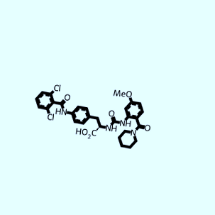 COc1ccc(C(=O)N2CCCCC2)c(NC(=O)N[C@@H](Cc2ccc(NC(=O)c3c(Cl)cccc3Cl)cc2)C(=O)O)c1